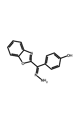 N/N=C(\c1ccc(O)cc1)c1nc2ccccc2o1